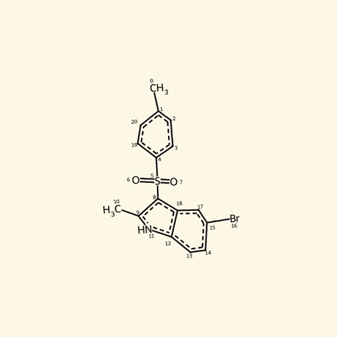 Cc1ccc(S(=O)(=O)c2c(C)[nH]c3ccc(Br)cc23)cc1